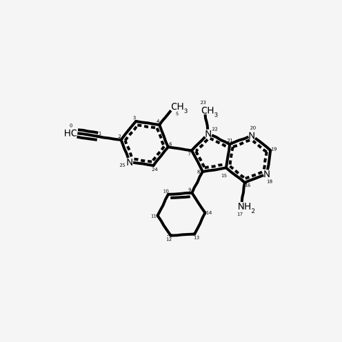 C#Cc1cc(C)c(-c2c(C3=CC[CH]CC3)c3c(N)ncnc3n2C)cn1